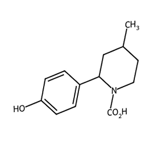 CC1CCN(C(=O)O)C(c2ccc(O)cc2)C1